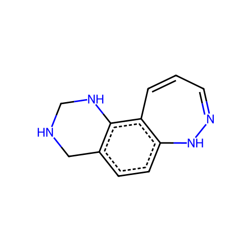 C1=Cc2c(ccc3c2NCNC3)NN=C1